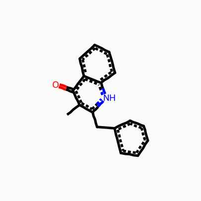 Cc1c(Cc2ccccc2)[nH]c2ccccc2c1=O